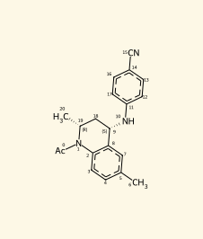 CC(=O)N1c2ccc(C)cc2[C@@H](Nc2ccc(C#N)cc2)C[C@H]1C